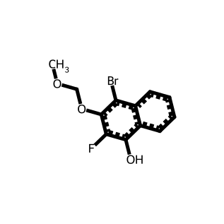 COCOc1c(F)c(O)c2ccccc2c1Br